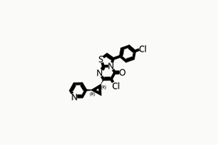 O=c1c(Cl)c([C@@H]2C[C@H]2c2cccnc2)nc2scc(-c3ccc(Cl)cc3)n12